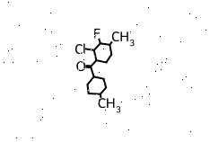 CC1CCC(C(=O)C2CCC(C)C(F)C2Cl)CC1